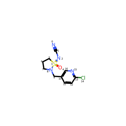 N#CN=S1(=O)CCCN1Cc1ccc(Cl)nc1